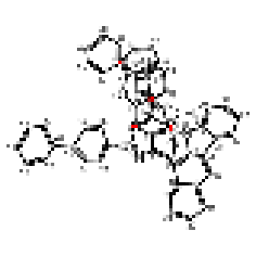 CC1C/C=C(c2cc3oc4ccccc4c3cc2-n2c3ccccc3c3cc4ccccc4cc32)/N=C(c2ccc(-c3ccccc3)cc2)\N=C/1c1cccc(-c2ccccc2)c1